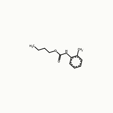 [CH2]c1ccccc1NC(=O)OCCCC